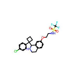 O=S(=O)(NCCOc1ccc2c(c1)C(C1(c3ccc(Cl)cc3)CCC1)NCC2)C(F)(F)F